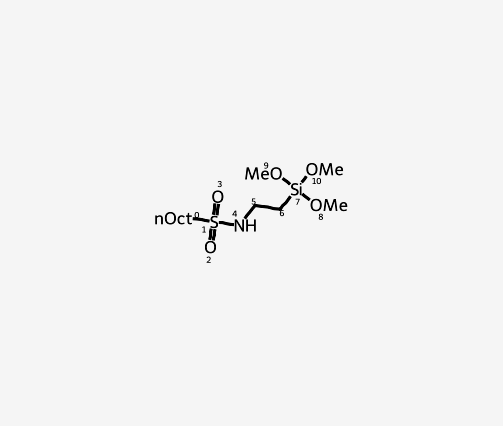 CCCCCCCCS(=O)(=O)NCC[Si](OC)(OC)OC